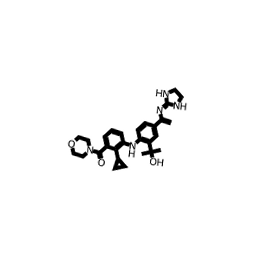 C=C(N=C1NCCN1)c1ccc(Nc2cccc(C(=O)N3CCOCC3)c2C2CC2)c(C(C)(C)O)c1